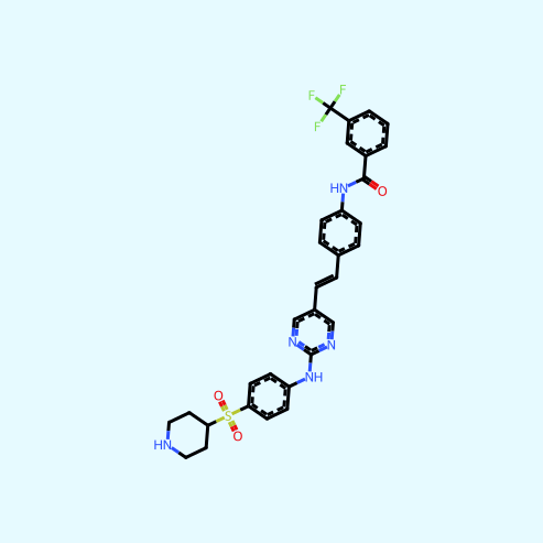 O=C(Nc1ccc(/C=C/c2cnc(Nc3ccc(S(=O)(=O)C4CCNCC4)cc3)nc2)cc1)c1cccc(C(F)(F)F)c1